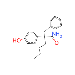 CCCCC(Cc1ccccc1)(C(N)=O)c1ccc(O)cc1